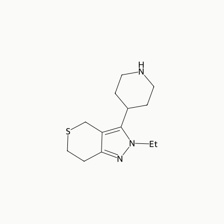 CCn1nc2c(c1C1CCNCC1)CSCC2